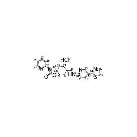 Cl.O=C1O[C@]2(CC[C@H](CNc3ccc(-c4nccs4)cn3)CC2)CN1c1ccccn1